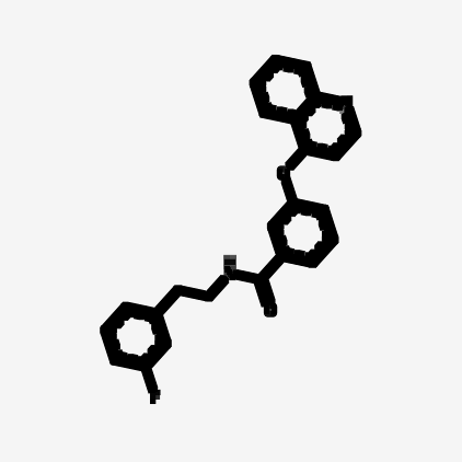 O=C(NCCc1cccc(F)c1)c1cccc(Oc2ccnc3ccccc23)c1